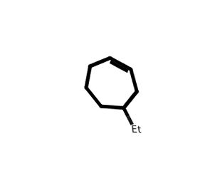 [CH2]CC1CC=CCCC1